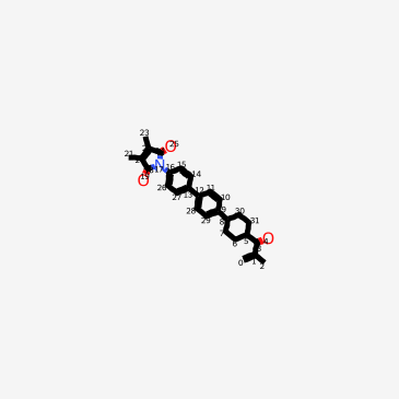 C=C(C)C(=O)C1CCC(c2ccc(-c3ccc(N4C(=O)C(C)=C(C)C4=O)cc3)cc2)CC1